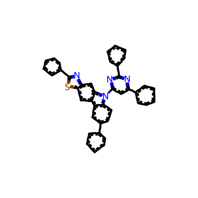 c1ccc(-c2ccc3c(c2)c2cc4sc(-c5ccccc5)nc4cc2n3-c2cc(-c3ccccc3)nc(-c3ccccc3)n2)cc1